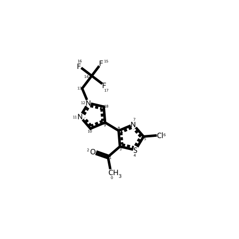 CC(=O)c1sc(Cl)nc1-c1cnn(CC(F)(F)F)c1